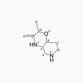 C=C1NC2CNCCC2OC1C